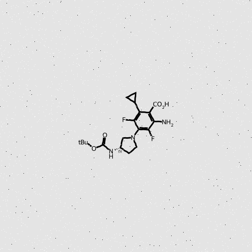 CC(C)(C)OC(=O)N[C@H]1CCN(c2c(F)c(N)c(C(=O)O)c(C3CC3)c2F)C1